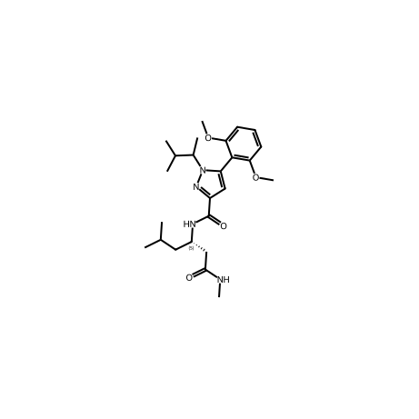 CNC(=O)C[C@H](CC(C)C)NC(=O)c1cc(-c2c(OC)cccc2OC)n(C(C)C(C)C)n1